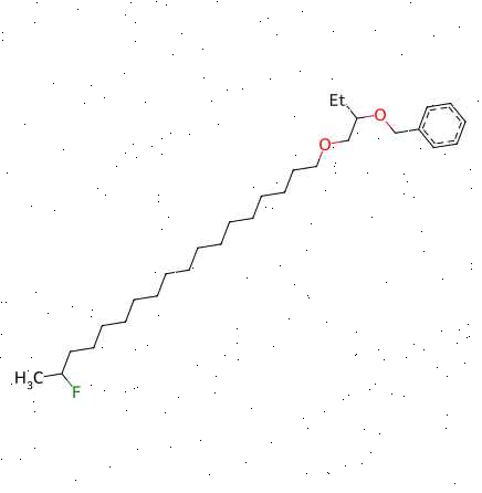 CCC(COCCCCCCCCCCCCCCCCC(C)F)OCc1ccccc1